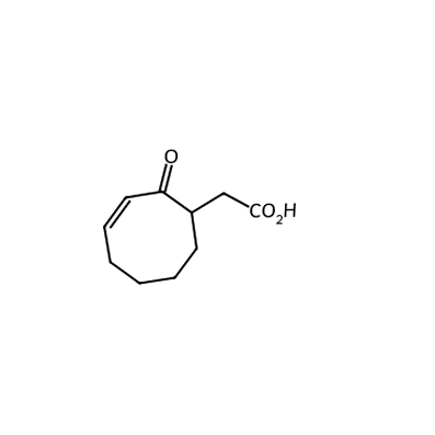 O=C(O)CC1CCCCC=CC1=O